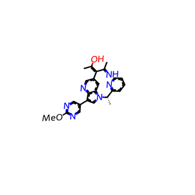 COc1ncc(-c2cn([C@@H](C)c3ccccn3)c3cc(/C(C(C)=N)=C(\C)O)cnc23)cn1